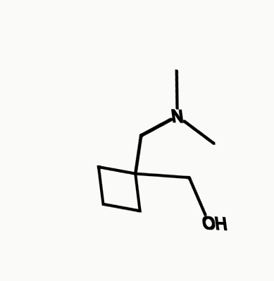 CN(C)CC1(CO)CCC1